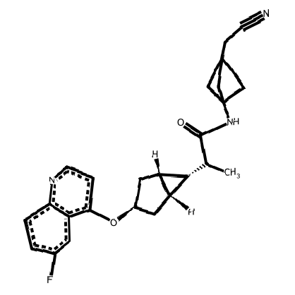 CC(C(=O)NC12CC(CC#N)(C1)C2)[C@@H]1[C@@H]2C[C@@H](Oc3ccnc4ccc(F)cc34)C[C@@H]21